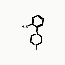 Bc1ccccc1N1CCNCC1